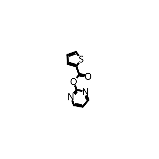 O=C(Oc1ncccn1)c1cccs1